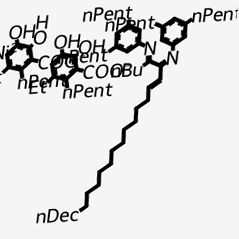 CCCCCCCCCCCCCCCCCCCCCC=CC(=Nc1cc(CCCCC)cc(CCCCC)c1)C(CCCC)=Nc1cc(CCCCC)cc(CCCCC)c1.CCCCCc1c(CC)cc(O)c(O)c1C(=O)[O-].CCCCCc1c(CC)cc(O)c(O)c1C(=O)[O-].[Ni+2]